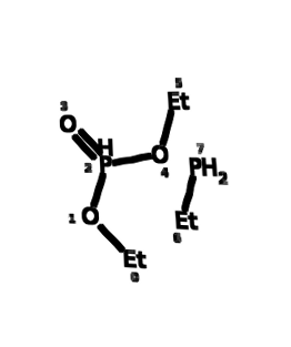 CCO[PH](=O)OCC.CCP